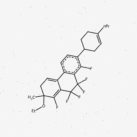 CCCC1=CCC(c2ccc3c(c2F)C(F)(F)C(F)(F)C2=C(F)C(C)(OCC)CC=C23)CC1